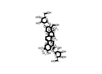 CC1(C)C[C@H]2C3=CC[C@@H]4[C@@]5(C)CC[C@H](O[C@@H]6O[C@H](CO)[C@@H](O)[C@H](O)[C@H]6O)[C@@](C)(CO)[C@@H]5CC[C@@]4(C)[C@]3(C)CC[C@@]2(C(=O)O[C@@H]2O[C@H](CO)[C@@H](O)[C@H](O)[C@H]2O)C[C@@H]1O